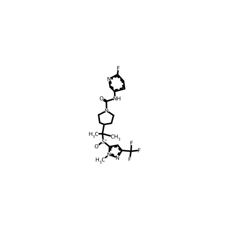 Cn1nc(C(F)(F)F)cc1[S+]([O-])C(C)(C)C1CCN(C(=O)Nc2ccc(F)nc2)CC1